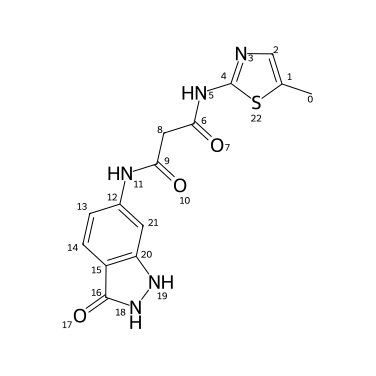 Cc1cnc(NC(=O)CC(=O)Nc2ccc3c(=O)[nH][nH]c3c2)s1